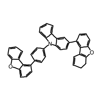 C1=Cc2c(oc3cccc(-c4ccc5c(c4)c4ccccc4n5-c4ccc(-c5cccc6oc7ccccc7c56)cc4)c23)CC1